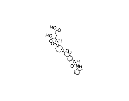 COc1cc(NC(=O)Nc2ccccc2C)ccc1CC(=O)N1CCCN(C(=O)NC(CCC(=O)O)C(=O)O)CC1